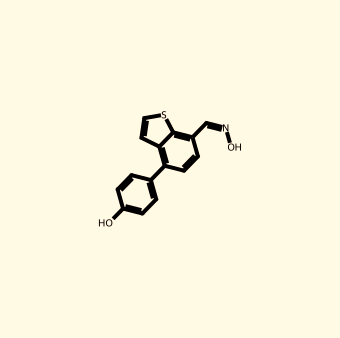 O/N=C\c1ccc(-c2ccc(O)cc2)c2ccsc12